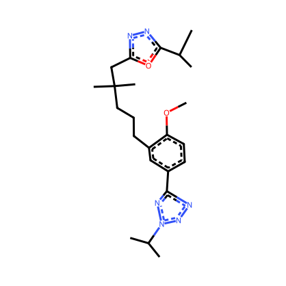 COc1ccc(-c2nnn(C(C)C)n2)cc1CCCC(C)(C)Cc1nnc(C(C)C)o1